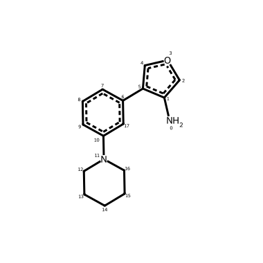 Nc1cocc1-c1cccc(N2CCCCC2)c1